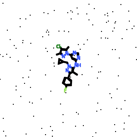 Cc1nn(-c2cc(Nc3c(C)c(-c4ccc(F)cc4)nn3CC3CC3)ncn2)c(C)c1Cl